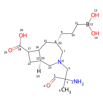 CC(N)(C=O)CN1C[C@@H](CCCB(O)O)CC2C(C(=O)O)C[C@@H]2C1